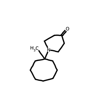 CC1(N2CCC(=O)CC2)CCCCCCC1